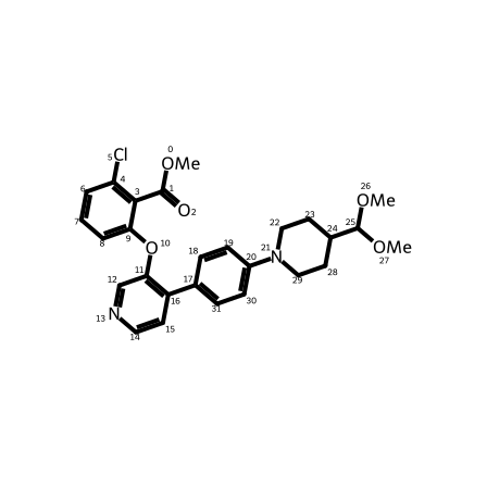 COC(=O)c1c(Cl)cccc1Oc1cnccc1-c1ccc(N2CCC(C(OC)OC)CC2)cc1